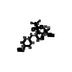 CN(C)S(=O)(=O)n1c(Cc2ccc(C(C)(C)C)cc2)cnc1[Si](C)(C)C(C)(C)C